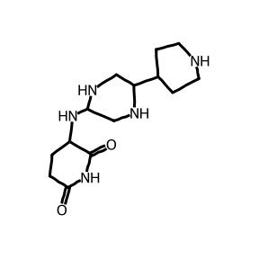 O=C1CCC(NC2CNC(C3CCNCC3)CN2)C(=O)N1